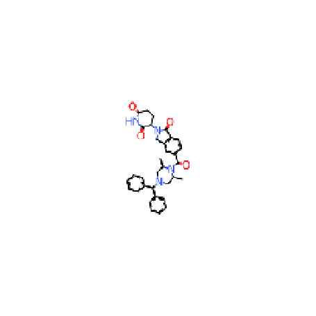 CC1CN(C(c2ccccc2)c2ccccc2)CC(C)N1C(=O)c1ccc2c(c1)CN(C1CCC(=O)NC1=O)C2=O